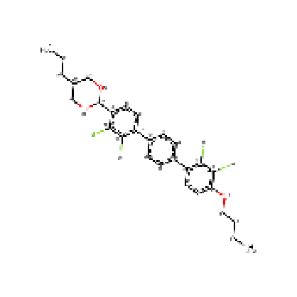 CCCCOc1ccc(-c2ccc(-c3ccc(C4OCC(CCC)CO4)c(F)c3F)cc2)c(F)c1F